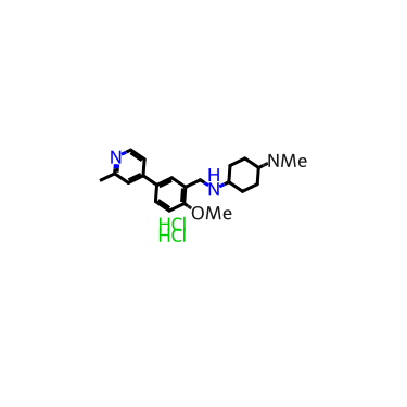 CNC1CCC(NCc2cc(-c3ccnc(C)c3)ccc2OC)CC1.Cl.Cl